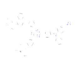 C[C@@H]1C[C@@H]2C[C@H](C)CC(c3ccc(-c4nc(-c5ccc(-n6c7ccccc7c7cc(C#N)ccc76)cc5)nc(-c5cccc(-c6ccc(C78C[C@H](C)C[C@H](C[C@H](C)C7)C8)c7ccccc67)c5)n4)cc3)(C1)C2